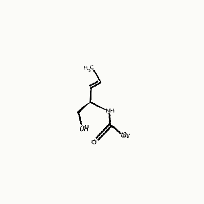 C/C=C/[C@H](CO)NC(=O)C(C)(C)C